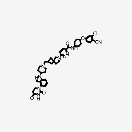 N#Cc1ccc(O[C@H]2CC[C@H](NC(=O)c3ccc(N4CCC5(CC(CN6CCC(n7ncc8c(N9CCC(=O)NC9=O)cccc87)CC6)C5)C4)nn3)CC2)cc1Cl